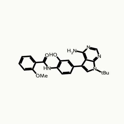 COc1ccccc1C(=O)Nc1ccc(-c2cn(C(C)(C)C)c3ncnc(N)c23)cc1O